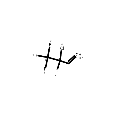 C=CC(F)(Cl)C(F)(F)F